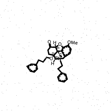 COc1ccc2c3c1O[C@H]1C(=O)CC[C@@]4(OCCCc5ccccc5)[C@@H](C2)N(CCc2ccccc2)CC[C@]314